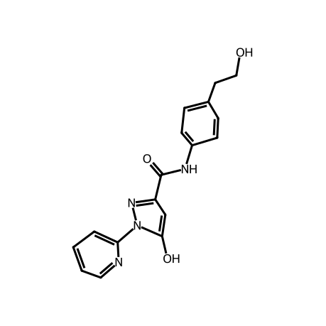 O=C(Nc1ccc(CCO)cc1)c1cc(O)n(-c2ccccn2)n1